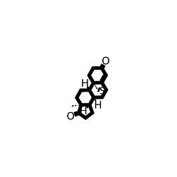 C[C@]12CC[C@H]3[C@@H](CCC4=CC(=O)CC[C@@]43C=S)[C@@H]1CCC2=O